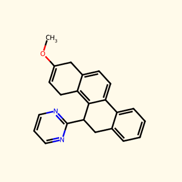 COC1=CCc2c(ccc3c2C(c2ncccn2)Cc2ccccc2-3)C1